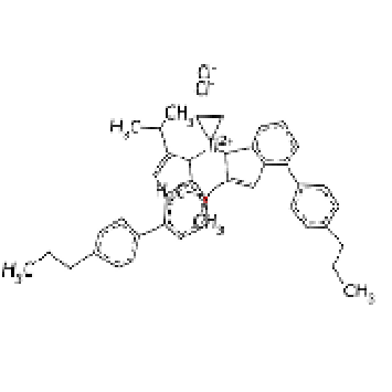 CCCc1ccc(-c2cccc3c2C=C(C(C)C)[CH]3[Ti+2]2([CH]3C(C(C)C)=Cc4c(-c5ccc(CCC)cc5)cccc43)[CH2][CH2]2)cc1.[Cl-].[Cl-]